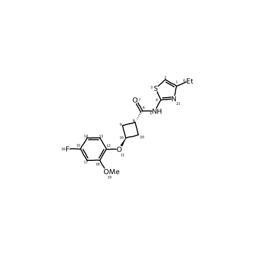 CCc1csc(NC(=O)[C@H]2C[C@H](Oc3ccc(F)cc3OC)C2)n1